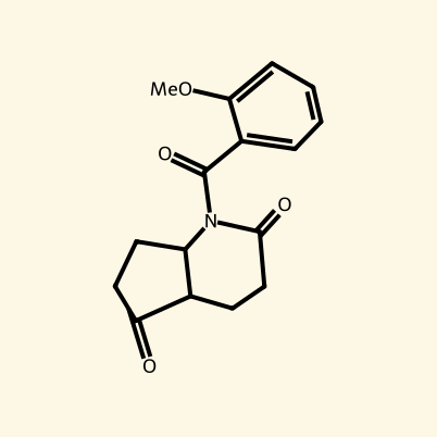 COc1ccccc1C(=O)N1C(=O)CCC2C(=O)CCC21